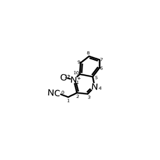 N#CCc1cnc2ccccc2[n+]1[O-]